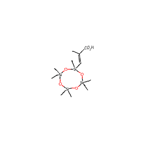 CC(=C[Si]1(C)O[Si](C)(C)O[Si](C)(C)O[Si](C)(C)O1)C(=O)O